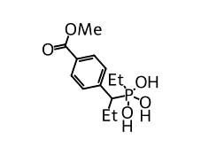 CCC(c1ccc(C(=O)OC)cc1)P(O)(O)(O)CC